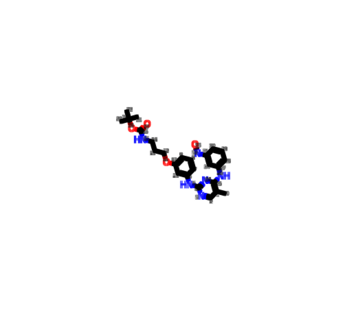 Cc1cnc(Nc2cccc(OCCCNC(=O)OC(C)(C)C)c2)nc1Nc1cccc(N=O)c1